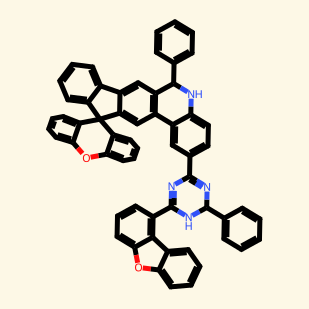 c1ccc(C2N=C(c3ccc4c(c3)-c3cc5c(cc3C(c3ccccc3)N4)-c3ccccc3C53c4ccccc4Oc4ccccc43)N=C(c3cccc4oc5ccccc5c34)N2)cc1